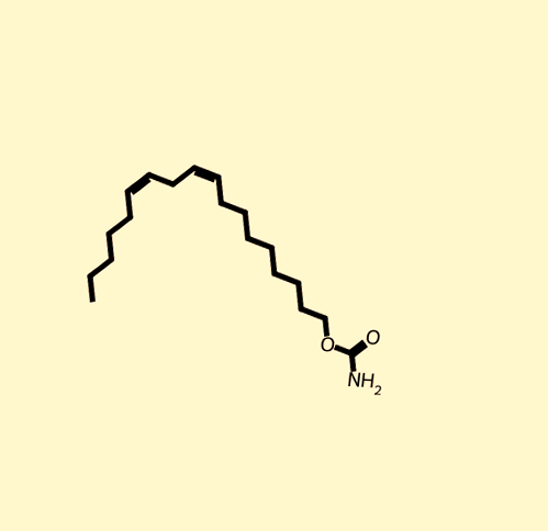 CCCCC/C=C\C/C=C\CCCCCCCCOC(N)=O